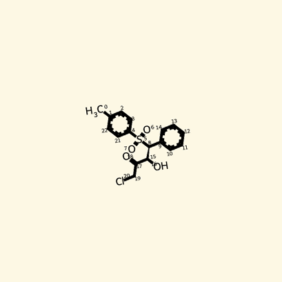 Cc1ccc(S(=O)(=O)[C@@H](c2ccccc2)C(O)C(=O)CCl)cc1